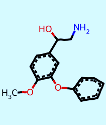 COc1ccc(C(O)CN)cc1Oc1ccccc1